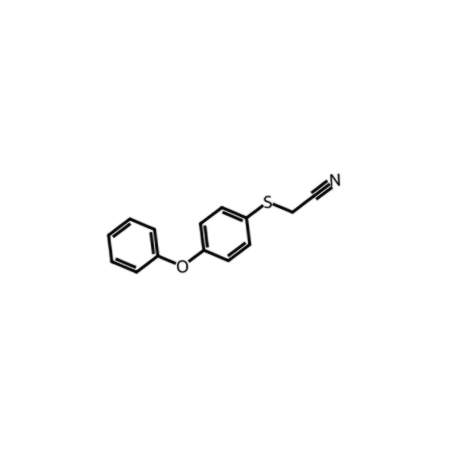 N#CCSc1ccc(Oc2ccccc2)cc1